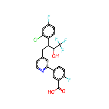 O=C(O)c1cc(-c2cc(CC(c3ccc(F)cc3Cl)C(O)C(F)(F)F)ccn2)ccc1F